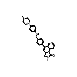 CN1CCN(c2ccc(NCc3ccc(-c4cc5n[nH]c(=O)n5c5ccccc45)cc3)cc2)CC1